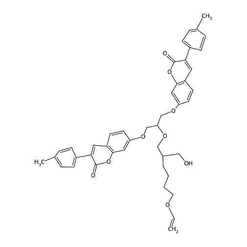 C=COCCCCC(CO)COC(COc1ccc2cc(-c3ccc(C)cc3)c(=O)oc2c1)COc1ccc2cc(-c3ccc(C)cc3)c(=O)oc2c1